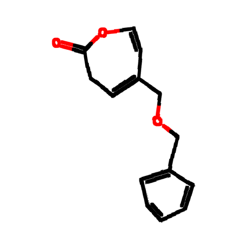 O=C1CC=C(COCc2ccccc2)C=CO1